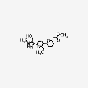 CCc1nc(-c2nnn(C)c2CO)ccc1[C@@H]1CCC[C@@H](CC(=O)OC)O1